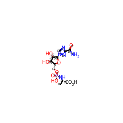 C[C@H](NP(=O)(O)OC[C@H]1O[C@@H](n2cnc(C(N)=O)n2)[C@H](O)[C@@H]1O)C(=O)O